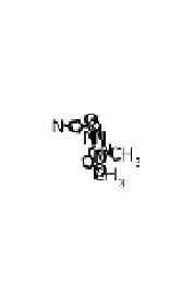 COc1cccc(/C=C/c2nc3n(n2)CCOC3c2ccc(C#N)cc2)c1-n1cnc(C)c1